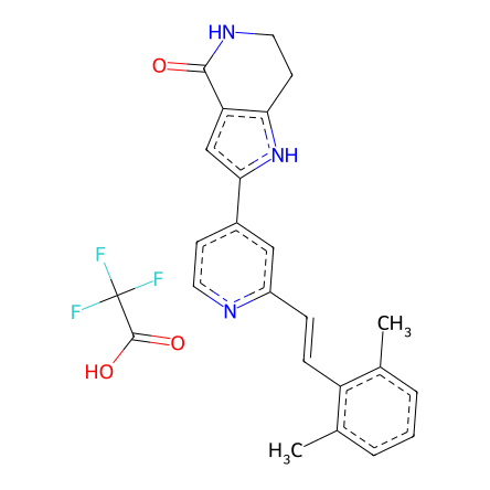 Cc1cccc(C)c1C=Cc1cc(-c2cc3c([nH]2)CCNC3=O)ccn1.O=C(O)C(F)(F)F